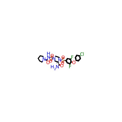 NC(=O)[C@H]1CN(S(=O)(=O)NC(=O)N2CCCCC2)CCN1S(=O)(=O)c1cc(F)c(Oc2ccc(Cl)cc2)c(F)c1